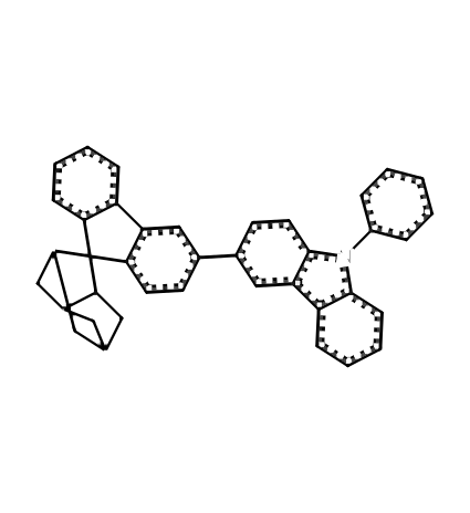 c1ccc(-n2c3ccccc3c3cc(-c4ccc5c(c4)-c4ccccc4C54C5CC6CC(C5)C4C6)ccc32)cc1